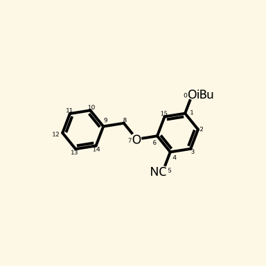 CC(C)COc1ccc(C#N)c(OCc2ccccc2)c1